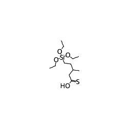 CCO[Si](CCC(C)CC(O)=S)(OCC)OCC